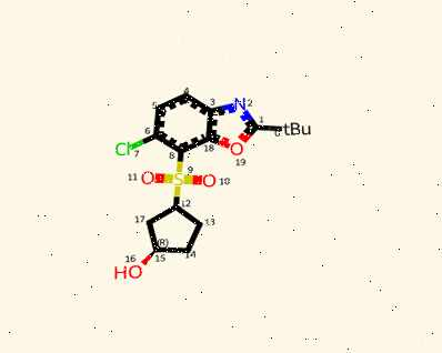 CC(C)(C)c1nc2ccc(Cl)c(S(=O)(=O)C3CC[C@@H](O)C3)c2o1